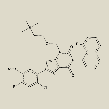 COc1cc(-c2cc3c(s2)c(=O)n(-c2cncc4cccc(F)c24)c(=O)n3COCC[Si](C)(C)C)c(Cl)cc1F